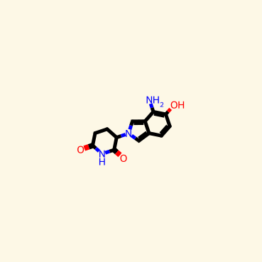 Nc1c(O)ccc2cn(C3CCC(=O)NC3=O)cc12